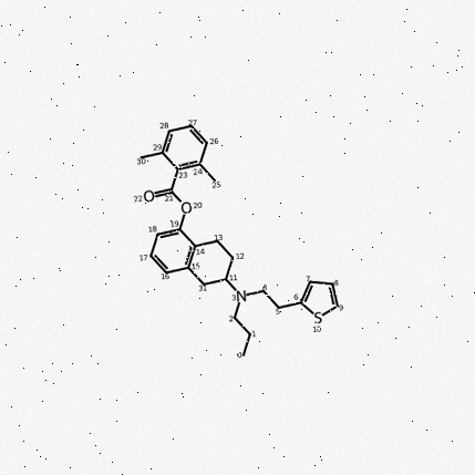 CCCN(CCc1cccs1)C1CCc2c(cccc2OC(=O)c2c(C)cccc2C)C1